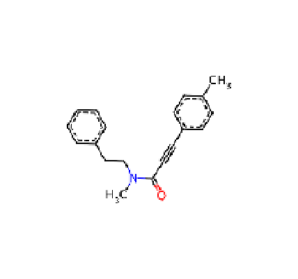 Cc1ccc(C#CC(=O)N(C)CCc2ccccc2)cc1